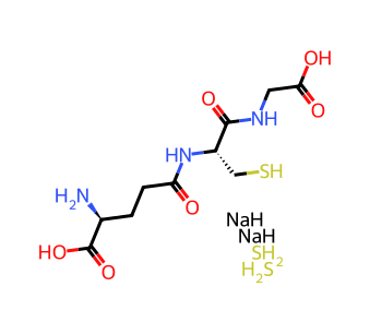 N[C@@H](CCC(=O)N[C@@H](CS)C(=O)NCC(=O)O)C(=O)O.S.S.[NaH].[NaH]